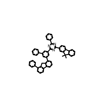 CC1(C)c2ccccc2-c2ccc(-c3nc(-c4ccccc4)nc(-c4cc(-c5ccccc5)cc(-c5cccc6c5Cc5c(-c7ccccc7)cccc5-6)c4)n3)cc21